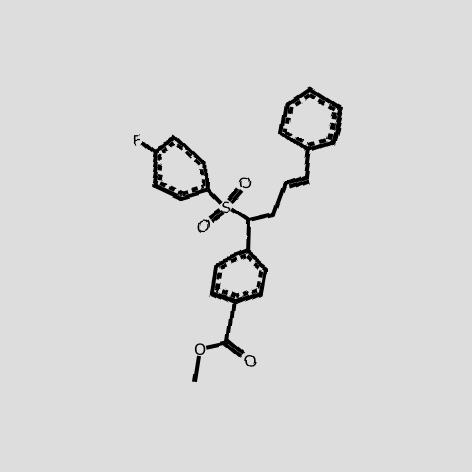 COC(=O)c1ccc(C(CC=Cc2ccccc2)S(=O)(=O)c2ccc(F)cc2)cc1